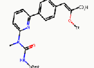 CCCCCNC(=O)N(C)c1cccc(-c2ccc(C=C(OCC)C(=O)O)cc2)n1